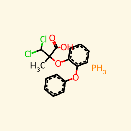 CC(Oc1ccccc1Oc1ccccc1)(C(=O)O)C(Cl)Cl.P